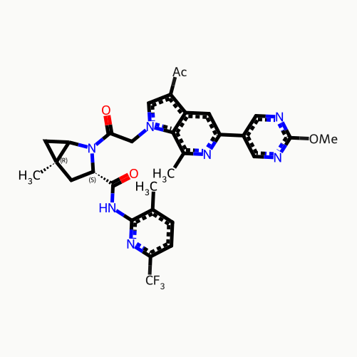 COc1ncc(-c2cc3c(C(C)=O)cn(CC(=O)N4C5C[C@]5(C)C[C@H]4C(=O)Nc4nc(C(F)(F)F)ccc4C)c3c(C)n2)cn1